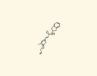 C=CCON1CN(/C=C/C(=O)NC2Cc3ccccc3C2)C=C1C